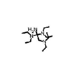 CCN(CC)CC(N)(N(CC)CC)N(CC)CC